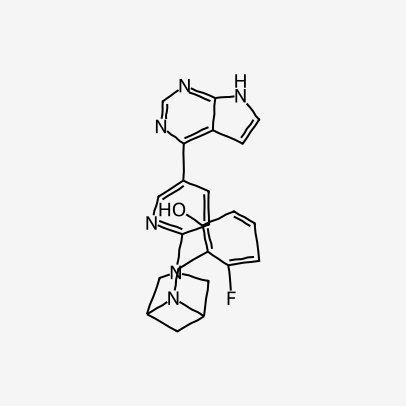 Oc1cccc(F)c1CN1C2CC1CN(c1ccc(-c3ncnc4[nH]ccc34)cn1)C2